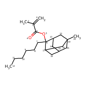 C=C(C)C(=O)OC1(CCCCCC)C2CC3CC1CC(C)(C3)C2